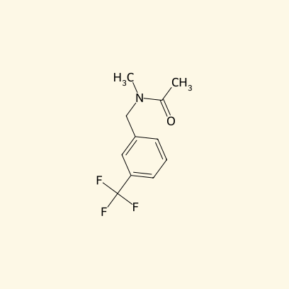 CC(=O)N(C)Cc1cccc(C(F)(F)F)c1